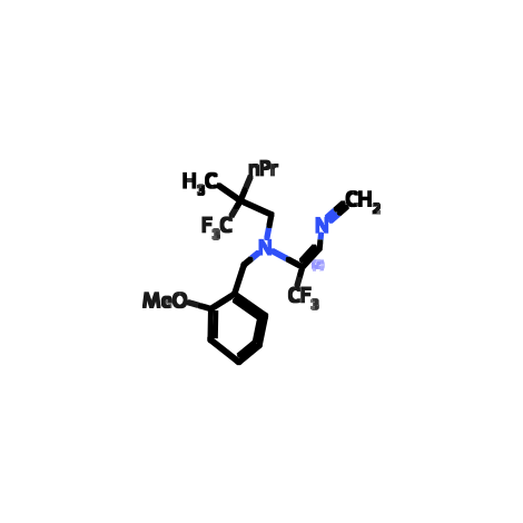 C=N/C=C(\N(CC1=C=C=CC=C1OC)CC(C)(CCC)C(F)(F)F)C(F)(F)F